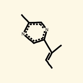 C/C=C(\C)c1cnc(C)cn1